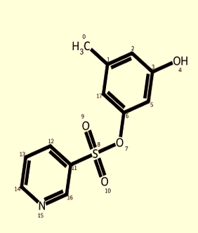 Cc1cc(O)cc(OS(=O)(=O)c2cccnc2)c1